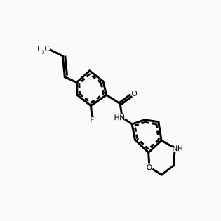 O=C(Nc1ccc2c(c1)OCCN2)c1ccc(/C=C/C(F)(F)F)cc1F